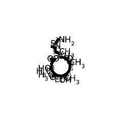 CC[C@H]1C(=O)C(C)(C)[C@@H](O)CC(=O)O[C@H](C(C)=Cc2csc(CN)n2)C[C@@H]2O[C@]2(C)CCC[C@H](C)[C@@H]1O